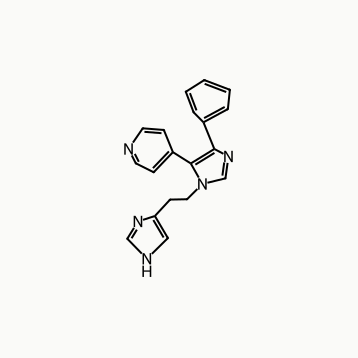 c1ccc(-c2ncn(CCc3c[nH]cn3)c2-c2ccncc2)cc1